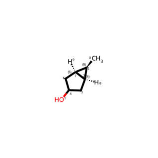 C[C@H]1[C@H]2CC(O)C[C@@H]12